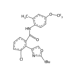 Cc1cc(OC(F)(F)F)ccc1NC(=O)c1cccc(Cl)c1-c1coc(C(C)(C)C)n1